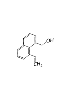 C=Cc1cccc2cccc(CO)c12